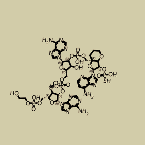 COC1[C@@H](COP(=O)(O)OCCO)O[C@@H](n2cnc3c(N)ncnc32)[C@H]1OP(=O)(O)OC[C@H]1O[C@@H](n2cnc3c(N)ncnc32)[C@@H](OP(=O)(O)OC[C@]23CCCOC2[C@H](OP(=O)(O)S)[C@H](n2cnc4c(N)ccnc42)O3)C1O